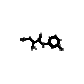 NCC(N)C(=O)Nc1cccc(Cl)c1